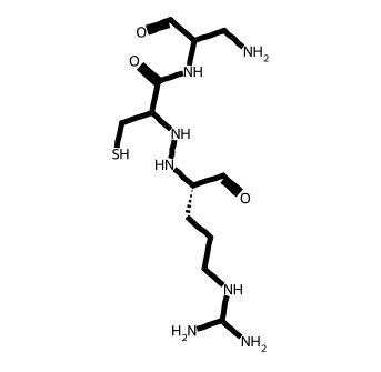 NCC(C=O)NC(=O)C(CS)NN[C@H](C=O)CCCNC(N)N